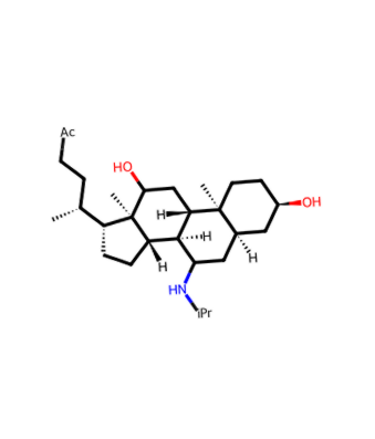 CC(=O)CC[C@@H](C)[C@H]1CC[C@H]2[C@@H]3C(NC(C)C)C[C@@H]4C[C@H](O)CC[C@]4(C)[C@H]3CC(O)[C@]12C